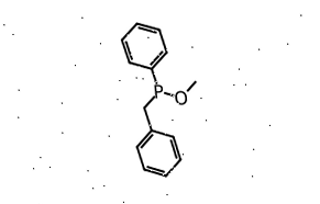 COP(Cc1ccccc1)c1ccccc1